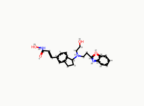 O=C(C=Cc1ccc2c(c1)CCC2N(CCO)CCc1nc2ccccc2o1)NO